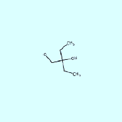 CCC(O)(CC)C[O]